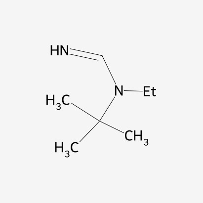 CCN(C=N)C(C)(C)C